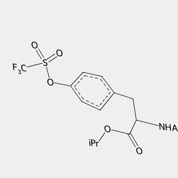 CC(=O)NC(Cc1ccc(OS(=O)(=O)C(F)(F)F)cc1)C(=O)OC(C)C